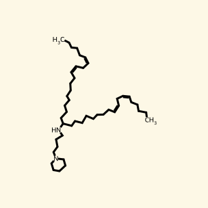 CCCCC/C=C\C/C=C\CCCCCCCCC(CCCCCCCC/C=C\C/C=C\CCCCC)NCCCCN1CCCCC1